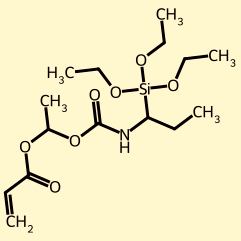 C=CC(=O)OC(C)OC(=O)NC(CC)[Si](OCC)(OCC)OCC